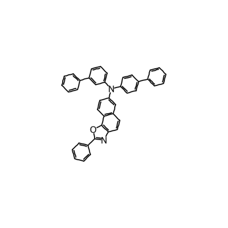 c1ccc(-c2ccc(N(c3cccc(-c4ccccc4)c3)c3ccc4c(ccc5nc(-c6ccccc6)oc54)c3)cc2)cc1